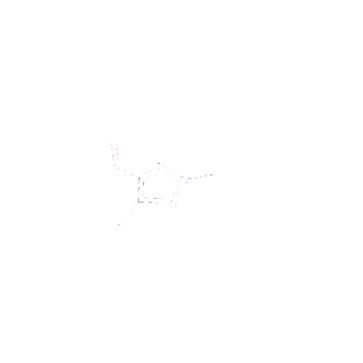 Cn1cc(N=O)c(I)n1